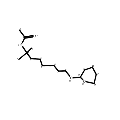 CC(=O)SC(C)(C)CCCCCCOC1CCCCO1